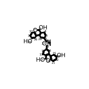 O=C(O)c1ccc(-c2nnc(-c3ccc(C(=O)O)c(-c4cccc(O)c4)c3)o2)cc1-c1cccc(O)c1